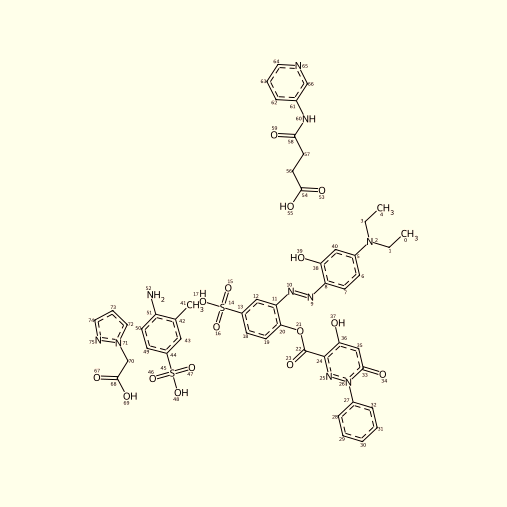 CCN(CC)c1ccc(N=Nc2cc(S(=O)(=O)O)ccc2OC(=O)c2nn(-c3ccccc3)c(=O)cc2O)c(O)c1.Cc1cc(S(=O)(=O)O)ccc1N.O=C(O)CCC(=O)Nc1cccnc1.O=C(O)Cn1cccn1